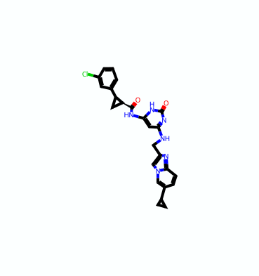 O=C(Nc1cc(NCc2cn3cc(C4CC4)ccc3n2)nc(=O)[nH]1)[C@H]1CC1c1cccc(Cl)c1